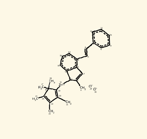 CC1=Cc2c(C=Cc3ccccc3)cccc2[CH]1[Zr+2][C]1=C(C)C(C)=C(C)C1(C)C.[Cl-].[Cl-]